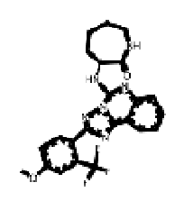 COc1ccc(-c2nc3c4ccccc4nc(N[C@H]4CCCCNC4=O)n3n2)c(C(F)(F)F)c1